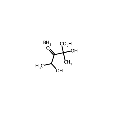 B.CC(O)C(=O)C(C)(O)C(=O)O